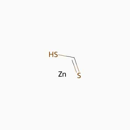 S=CS.[Zn]